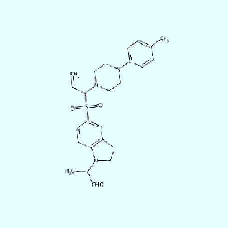 C=CC(N1CCN(c2ccc(C(F)(F)F)cc2)CC1)S(=O)(=O)c1ccc2c(c1)CCN2C(C)C=O